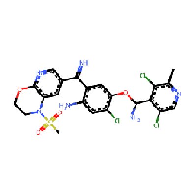 Cc1ncc(Cl)c([C@@H](N)Oc2cc(C(=N)c3cnc4c(c3)N(S(C)(=O)=O)CCO4)c(N)cc2Cl)c1Cl